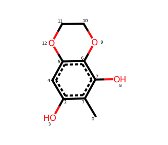 Cc1c(O)cc2c(c1O)OCCO2